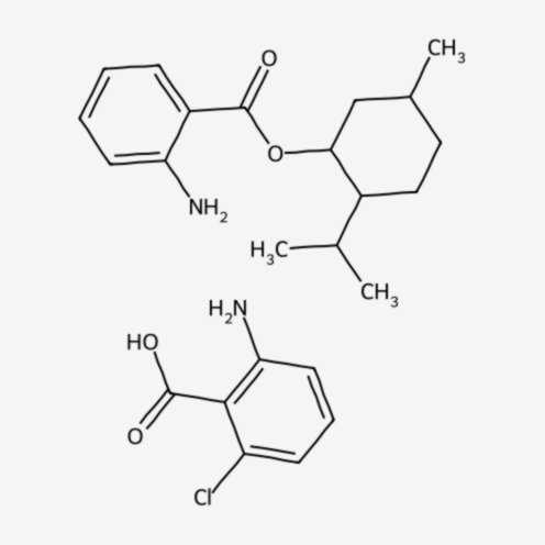 CC1CCC(C(C)C)C(OC(=O)c2ccccc2N)C1.Nc1cccc(Cl)c1C(=O)O